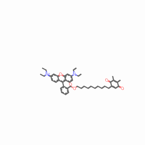 CCN(CC)c1ccc2c(-c3ccccc3C(=O)OCCCCCCCCCCC3=CC(=O)C(C)=C(C)C3=O)c3ccc(=[N+](CC)CC)cc-3oc2c1